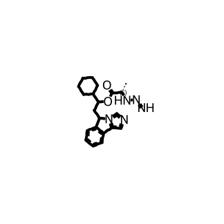 C[C@H](NN=N)C(=O)OC(CC1c2ccccc2-c2cncn21)C1CCCCC1